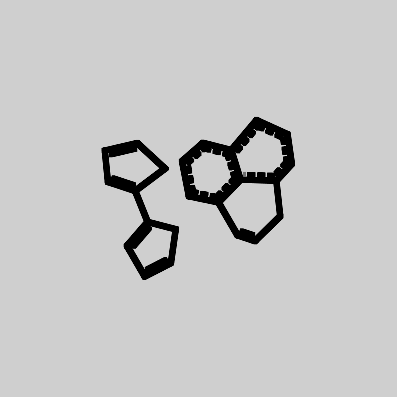 C1=CCC(C2=CC=CC2)=C1.C1=Cc2cccc3cccc(c23)C1